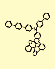 c1ccc(-c2ccc(-c3ccc(N(c4ccc(-c5ccccc5)cc4)c4ccc5sc6c(c5c4)Oc4ccccc4C64c5ccccc5-c5ccccc54)cc3)cc2)cc1